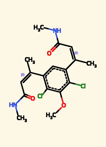 CNC(=O)/C=C(/C)c1cc(/C(C)=C\C(=O)NC)c(Cl)c(OC)c1Cl